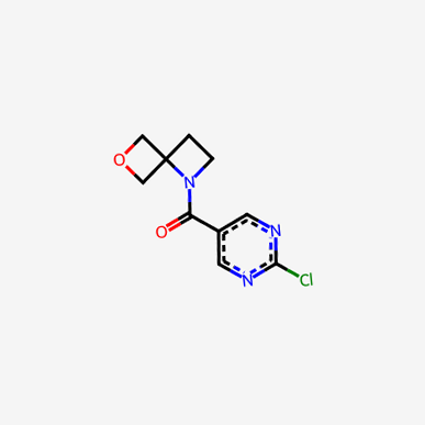 O=C(c1cnc(Cl)nc1)N1CCC12COC2